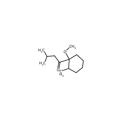 COC1(C(=O)CC(C)C)CCCCC1C